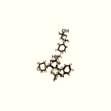 CN(CC(C)(C)O)[C@H]1CC[C@H](CNc2nc(N3CCOCC3)cc(-n3c(C(F)F)nc4ccccc43)n2)CC1